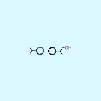 CC(C)c1ccc(-c2ccc(C(C)CO)cc2)cc1